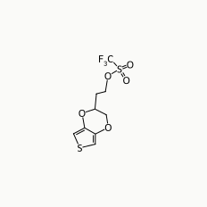 O=S(=O)(OCCC1COc2cscc2O1)C(F)(F)F